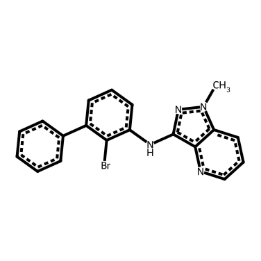 Cn1nc(Nc2cccc(-c3ccccc3)c2Br)c2ncccc21